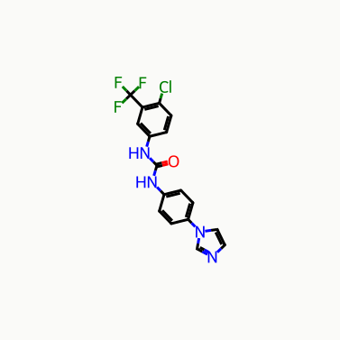 O=C(Nc1ccc(-n2ccnc2)cc1)Nc1ccc(Cl)c(C(F)(F)F)c1